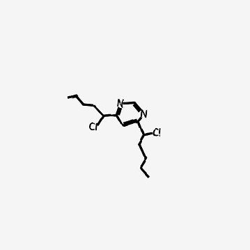 CCCCC(Cl)c1cc(C(Cl)CCCC)ncn1